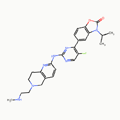 CNCCN1CCc2nc(Nc3ncc(F)c(-c4ccc5oc(=O)n(C(C)C)c5c4)n3)ccc2C1